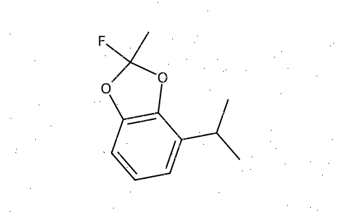 CC(C)c1cccc2c1OC(C)(F)O2